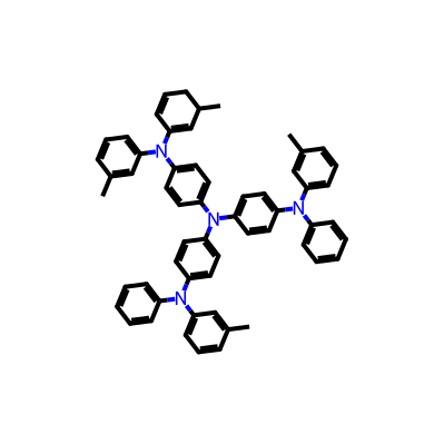 Cc1cccc(N(C2=CC(C)CC=C2)c2ccc(N(c3ccc(N(c4ccccc4)c4cccc(C)c4)cc3)c3ccc(N(c4ccccc4)c4cccc(C)c4)cc3)cc2)c1